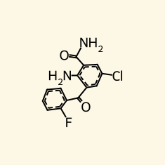 NC(=O)c1cc(Cl)cc(C(=O)c2ccccc2F)c1N